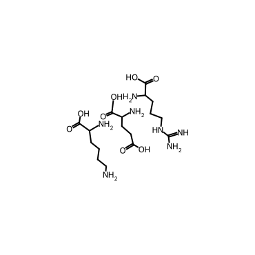 N=C(N)NCCCC(N)C(=O)O.NC(CCC(=O)O)C(=O)O.NCCCCC(N)C(=O)O